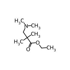 CCOC(=O)C(C)(C)CN(C)C